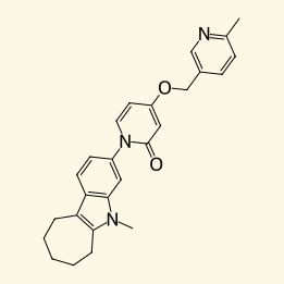 Cc1ccc(COc2ccn(-c3ccc4c5c(n(C)c4c3)CCCCC5)c(=O)c2)cn1